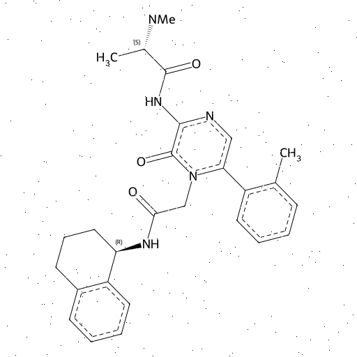 CN[C@@H](C)C(=O)Nc1ncc(-c2ccccc2C)n(CC(=O)N[C@@H]2CCCc3ccccc32)c1=O